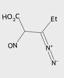 CCC(=[N+]=[N-])C(N=O)C(=O)O